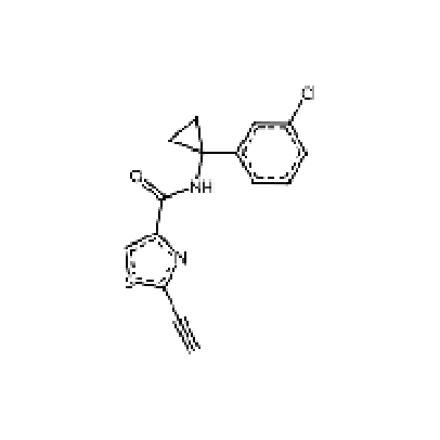 C#Cc1nc(C(=O)NC2(c3cccc(Cl)c3)CC2)cs1